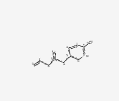 C=CCNCc1ccc(Cl)cc1